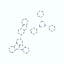 c1ccc(-c2nc(-c3ccccc3)nc(-c3cccc(-n4c5ccccc5c5ccc(-c6cc7c8ccccc8n8c9ccccc9c(c6)c78)cc54)c3)n2)cc1